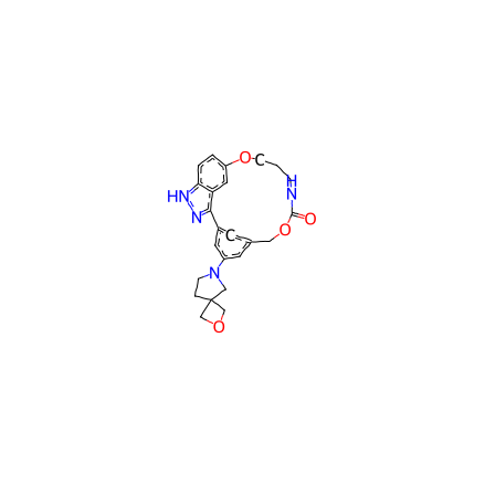 O=C1NCCCOc2ccc3[nH]nc(c3c2)-c2cc(cc(N3CCC4(COC4)C3)c2)CO1